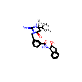 CC(C)[C@]1(C)CC(=O)N(Cc2cccc(C(=O)N[C@@H]3c4ccccc4C[C@@H]3O)c2)C(=N)N1